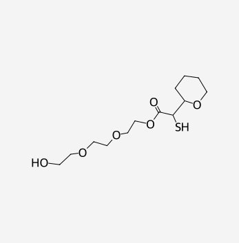 O=C(OCCOCCOCCO)C(S)C1CCCCO1